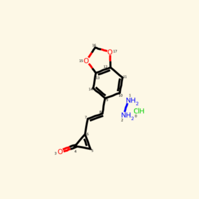 Cl.NN.O=c1cc1C=Cc1ccc2c(c1)OCO2